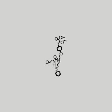 CCOC(Cc1ccc(OCCN(CCCSc2ccccc2)C(=O)NCCOC)cc1)C(=O)O